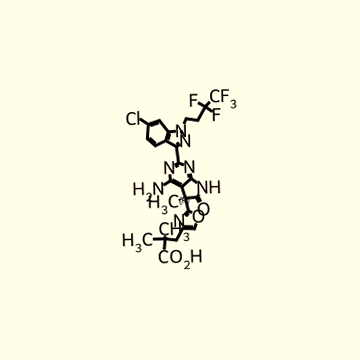 CC(C)(Cc1coc([C@]2(C)C(=O)Nc3nc(-c4nn(CCC(F)(F)C(F)(F)F)c5cc(Cl)ccc45)nc(N)c32)n1)C(=O)O